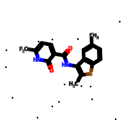 Cc1ccc2sc(C)c(NC(=O)c3ccc(C(F)(F)F)[nH]c3=O)c2c1